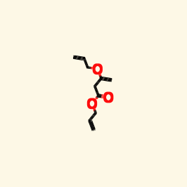 C=CCOC(=C)CC(=O)OCC=C